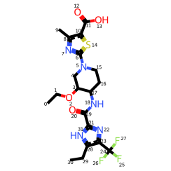 CCOC1CN(c2nc(C)c(C(=O)O)s2)CCC1NC(=O)c1nc(C(F)(F)F)c(CC)[nH]1